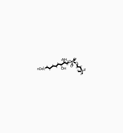 CCCCCCCCCCCCCCC[C@@H](O)[C@@H](N)COP(=O)([O-])OCC[N+](C)(C)C